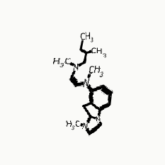 CCC(C)CN(C)/C=C\N(C)c1cccc2c1CC1N(C)C=CN21